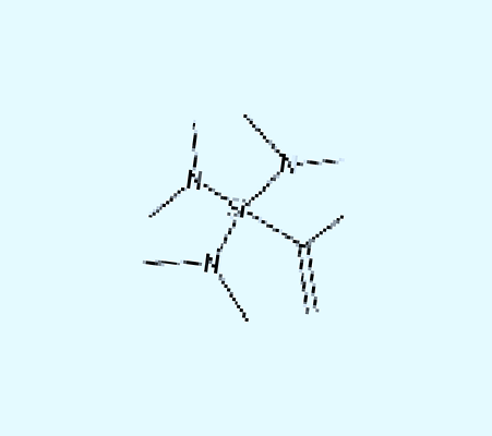 C=C(C)[Si](N(C)C)(N(C)C)N(C)C